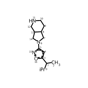 CC(C)C(C)c1cc(N2CC3CCNCC3C2)no1